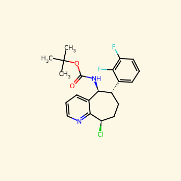 CC(C)(C)OC(=O)N[C@@H]1c2cccnc2[C@H](Cl)CC[C@H]1c1cccc(F)c1F